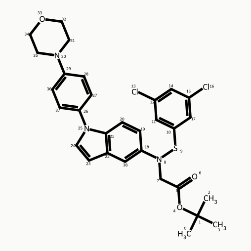 CC(C)(C)OC(=O)CN(Sc1cc(Cl)cc(Cl)c1)c1ccc2c(ccn2-c2ccc(N3CCOCC3)cc2)c1